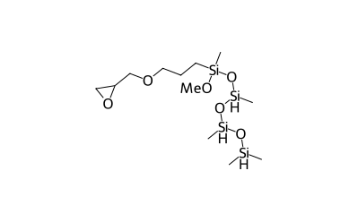 CO[Si](C)(CCCOCC1CO1)O[SiH](C)O[SiH](C)O[SiH](C)C